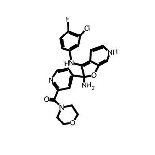 NC1(c2ccnc(C(=O)N3CCOCC3)c2)OC2=CNC=CC2=C1Nc1ccc(F)c(Cl)c1